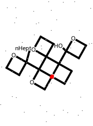 CCCCCCCC1(C2(C3(C4(C5(O)CCO5)CCO4)CCO3)CCO2)CCO1